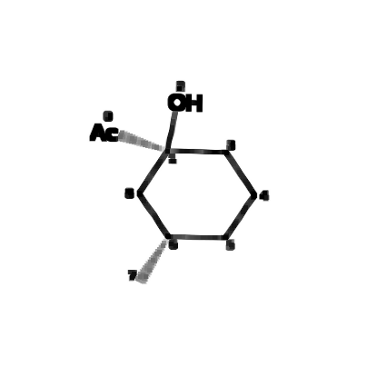 CC(=O)[C@]1(O)CCC[C@H](C)C1